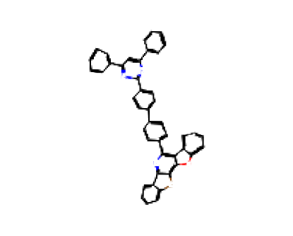 c1ccc(-c2cc(-c3ccccc3)nc(-c3ccc(-c4ccc(-c5nc6c7ccccc7sc6c6oc7ccccc7c56)cc4)cc3)n2)cc1